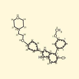 COc1cccc(-c2c(Cl)cnc3[nH]c(-c4ccc(OCCN5CCOCC5)cc4)nc23)c1